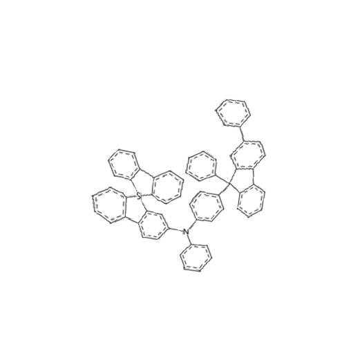 c1ccc(-c2ccc3c(c2)C(c2ccccc2)(c2ccc(N(c4ccccc4)c4ccc5c(c4)[Si]4(c6ccccc6-c6ccccc64)c4ccccc4-5)cc2)c2ccccc2-3)cc1